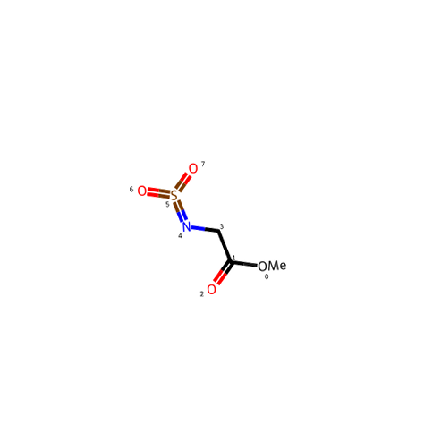 COC(=O)CN=S(=O)=O